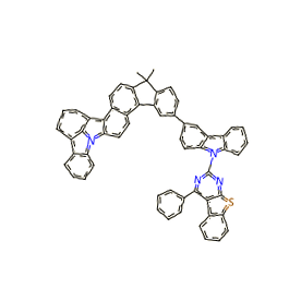 CC1(C)c2ccc(-c3ccc4c(c3)c3ccccc3n4-c3nc(-c4ccccc4)c4c(n3)sc3ccccc34)cc2-c2c1ccc1c2ccc2c1c1cccc3c4ccccc4n2c31